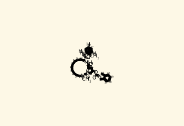 CN1CCCCCCCCC[C@@H](B2OC3C[C@H]4C[C@H](C4(C)C)[C@@]3(C)O2)NC(=O)[C@@H]2C[C@@H](OC(=O)N3Cc4ccccc4C3)CN2C1=O